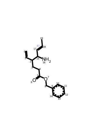 C=CC(CCC(=O)OCc1ccccc1)C(N)/C=C/C